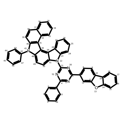 c1ccc(-c2nc(-c3ccc4c(c3)oc3ccccc34)nc(-n3c4ccccc4c4c5c6c7ccccc7ccc6n(-c6ccccc6)c5ccc43)n2)cc1